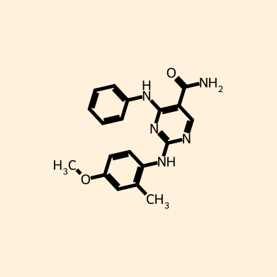 COc1ccc(Nc2ncc(C(N)=O)c(Nc3ccccc3)n2)c(C)c1